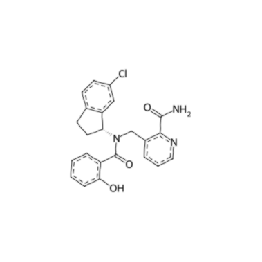 NC(=O)c1ncccc1CN(C(=O)c1ccccc1O)[C@@H]1CCc2ccc(Cl)cc21